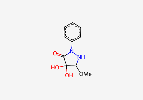 COC1NN(c2ccccc2)C(=O)C1(O)O